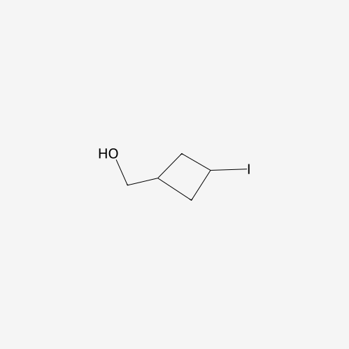 OCC1CC(I)C1